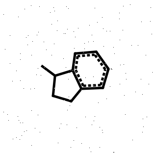 CC1CCc2c[c]ccc21